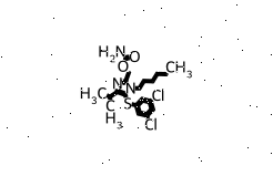 CCCCCCn1c(COC(N)=O)nc(C(C)C)c1Sc1cc(Cl)cc(Cl)c1